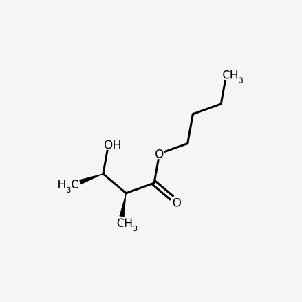 CCCCOC(=O)[C@@H](C)[C@@H](C)O